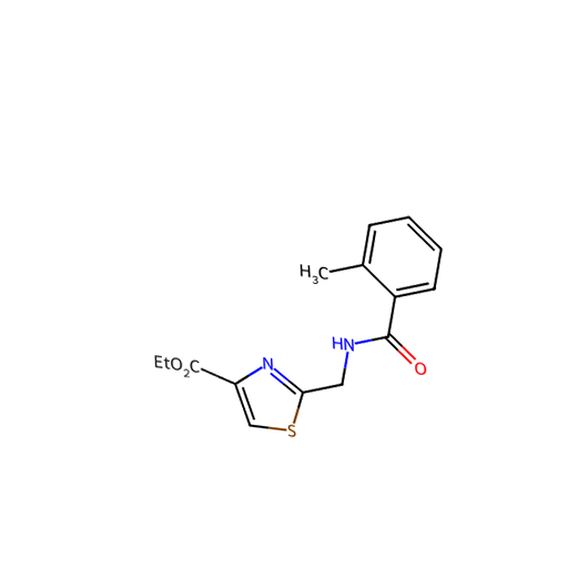 CCOC(=O)c1csc(CNC(=O)c2ccccc2C)n1